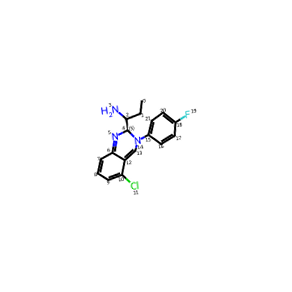 CCC(N)[C@@H]1N=c2cccc(Cl)c2=CN1c1ccc(F)cc1